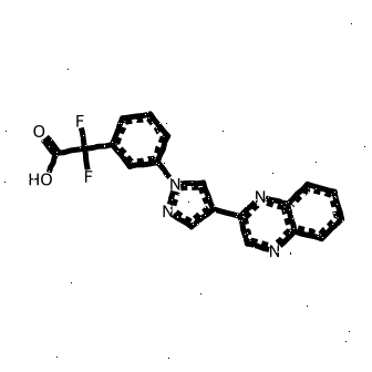 O=C(O)C(F)(F)c1cccc(-n2cc(-c3cnc4ccccc4n3)cn2)c1